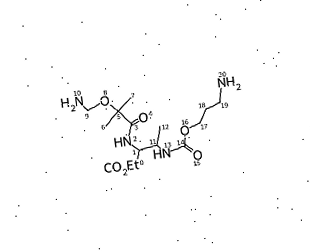 CCOC(=O)C(NC(=O)C(C)(C)OCN)C(C)NC(=O)OCCCN